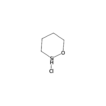 Cl[SiH]1CCCCO1